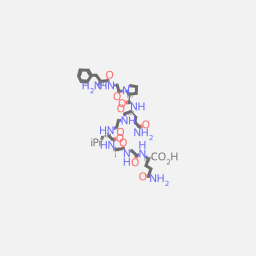 CC(C)C[C@H](NC(=O)CNC(=O)[C@H](CCC(N)=O)NC(=O)[C@@H]1CCCN1C(=O)CNC(=O)[C@@H](N)Cc1ccccc1)C(=O)N[C@@H](C)C(=O)NCC(=O)N[C@@H](CCC(N)=O)C(=O)O